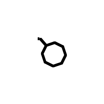 [CH]C1CCCCCCC1